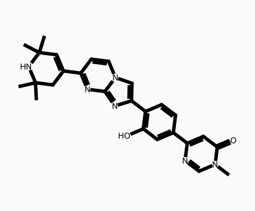 Cn1cnc(-c2ccc(-c3cn4ccc(C5=CC(C)(C)NC(C)(C)C5)nc4n3)c(O)c2)cc1=O